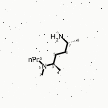 CCCN(C)[C@H](C)CC[C@@H](C)N